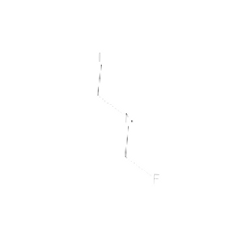 FC[N]CF